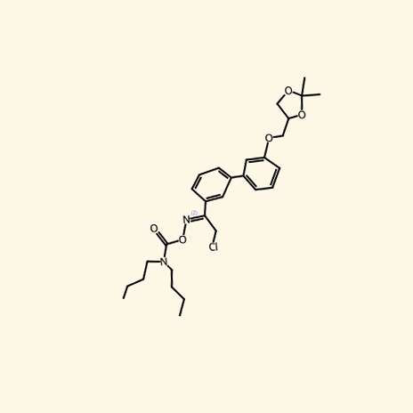 CCCCN(CCCC)C(=O)O/N=C(\CCl)c1cccc(-c2cccc(OCC3COC(C)(C)O3)c2)c1